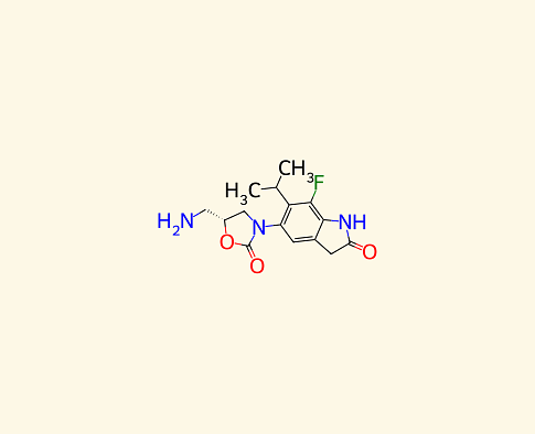 CC(C)c1c(N2C[C@@H](CN)OC2=O)cc2c(c1F)NC(=O)C2